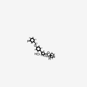 Cl.O=C(N[C@H]1CN2CCC1CC2)c1ccc(-c2ccc(OCc3cccc(F)c3)cc2)s1